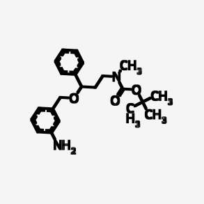 CN(CCC(OCc1cccc(N)c1)c1ccccc1)C(=O)OC(C)(C)C